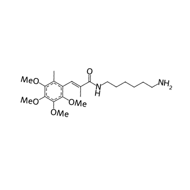 COc1c(C)c(C=C(C)C(=O)NCCCCCCN)c(OC)c(OC)c1OC